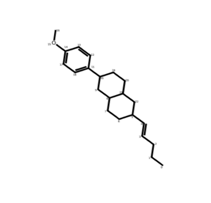 CCCC=CC1CCC2CC(c3ccc(OC)cc3)CCC2C1